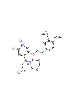 COc1ccc(CCOc2cc(N)c(Cl)cc2C(CCC(C)=O)N2CCCCC2)cc1OC